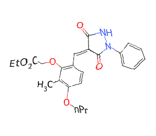 CCCOc1ccc(C=C2C(=O)NN(c3ccccc3)C2=O)c(OCC(=O)OCC)c1C